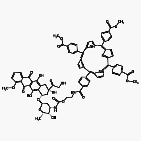 COC(=O)c1ccc(-c2c3nc(c(-c4ccc(C(=O)OC)cc4)c4ccc([nH]4)c(-c4ccc(C(=O)OC)cc4)c4nc(c(-c5ccc(C(=O)NCCOC(=O)N[C@H]6C[C@H](O[C@H]7C[C@](O)(C(=O)CO)Cc8c(O)c9c(c(O)c87)C(=O)c7c(OC)cccc7C9=O)O[C@@H](C)[C@H]6O)cc5)c5ccc2[nH]5)C=C4)C=C3)cc1